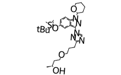 C[C@H](O)CCOCCCc1ncn(-c2nn(C3CCCCO3)c3ccc(O[Si](C)(C)C(C)(C)C)cc23)n1